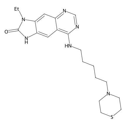 CCn1c(=O)[nH]c2cc3c(NCCCCCN4CCSCC4)ncnc3cc21